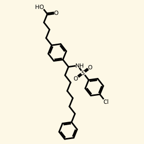 O=C(O)CCCc1ccc(C(CCCCCCc2ccccc2)NS(=O)(=O)c2ccc(Cl)cc2)cc1